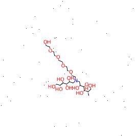 C[C@H](CO)[C@@H](O)[C@H](O)[C@@H](O)CN(CCOCCOCCOCCOCCO)C[C@H](O)[C@@H](O)[C@H](O)[C@H](O)CO